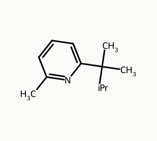 Cc1cccc(C(C)(C)C(C)C)n1